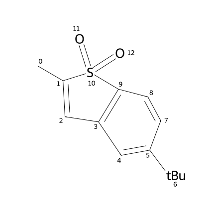 CC1=Cc2cc(C(C)(C)C)ccc2S1(=O)=O